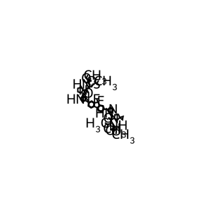 COC(=O)NC(CCSC)C(=O)N1CCC[C@H]1c1nc(-c2ccc3c(c2)C(F)(F)c2cc(-c4cnc([C@@H]5CC6(CC6)CN5C(=O)[C@@H](NC(=O)OC)C(C)C)[nH]4)ccc2-3)c[nH]1